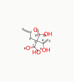 C=CCC(C(=C)O)(C(=O)O)C(=O)O